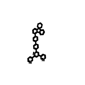 c1cncc(-c2cc(-c3ccc(-c4ccc(-c5cccc6c5-c5ccccc5C65CCCCC5)cc4)cc3)nc(-c3cccnc3)c2)c1